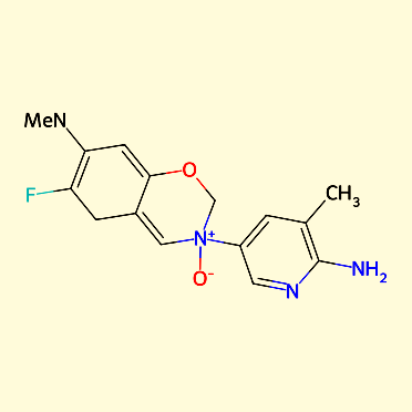 CNC1=C(F)CC2=C[N+]([O-])(c3cnc(N)c(C)c3)COC2=C1